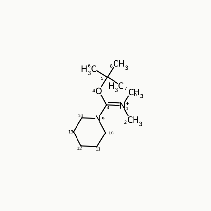 C[N+](C)=C(OC(C)(C)C)N1CCCCC1